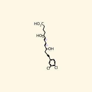 O=C(O)CCC[C@H](O)/C=C/C=C/[C@H](O)CC#Cc1ccc(Cl)c(Cl)c1